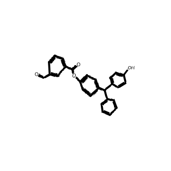 O=Cc1cccc(C(=O)Oc2ccc(C(c3ccccc3)c3ccc(O)cc3)cc2)c1